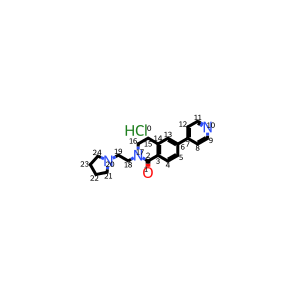 Cl.O=C1c2ccc(-c3ccncc3)cc2CCN1CCN1CCCC1